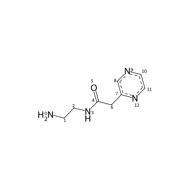 NCCNC(=O)Cc1cnccn1